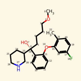 COCCCC[C@@](O)(c1ccccc1Oc1cc(F)ccc1C)C1CCCNC1